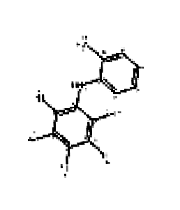 [2H]c1c([2H])c([2H])c(Nc2ccccc2N)c([2H])c1[2H]